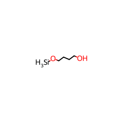 OCCCCO[SiH3]